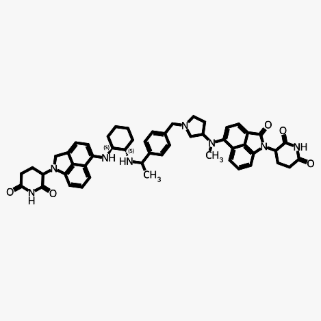 CC(N[C@H]1CCCC[C@@H]1Nc1ccc2c3c(cccc13)N(C1CCC(=O)NC1=O)C2)c1ccc(CN2CCC(N(C)c3ccc4c5c(cccc35)N(C3CCC(=O)NC3=O)C4=O)C2)cc1